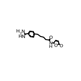 N=C(N)c1ccc(CCCCC(=O)NC2C=CC(=O)O2)cc1